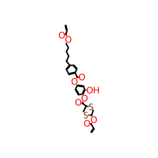 C=CC(=O)OCCCCCc1ccc(C(=O)Oc2ccc(OC(=O)C3CSC(OC(=O)C=C)CS3)c(O)c2)cc1